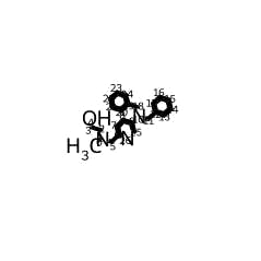 CN(CCO)Cc1ccc(N(Cc2ccccc2)Cc2ccccc2)cn1